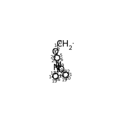 [CH2]CCOc1ccc(N2COC(c3ccccc3-c3ccccc3)=N2)cc1